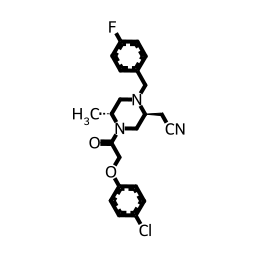 C[C@@H]1CN(Cc2ccc(F)cc2)[C@@H](CC#N)CN1C(=O)COc1ccc(Cl)cc1